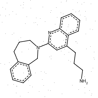 NCCCc1cc(N2CCCc3ccccc3C2)nc2ccccc12